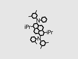 Cc1cc(C)cc(N(c2ccccc2)c2cc(C(C)C)c3ccc4c(N(c5cc(C)cc(C)c5)c5ccccc5C)cc(C(C)C)c5ccc2c3c54)c1